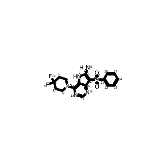 Nc1[nH]c2c(N3CCC(F)(F)CC3)ncnc2c1S(=O)(=O)c1ccccc1